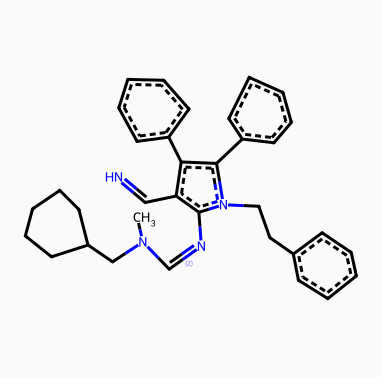 CN(/C=N\c1c(C=N)c(-c2ccccc2)c(-c2ccccc2)n1CCc1ccccc1)CC1CCCCC1